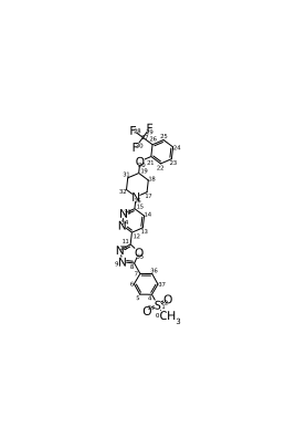 CS(=O)(=O)c1ccc(-c2nnc(-c3ccc(N4CCC(Oc5ccccc5C(F)(F)F)CC4)nn3)o2)cc1